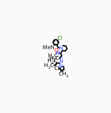 C\N=C(/C=C(C)/N=C(\C(C)=C(C)C)N1CC[C@H](C)C1)C1CCCCN1C(=O)c1cc(Cl)ccc1NC